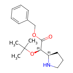 CC(C)(C)O[C@@H](C(=O)OCc1ccccc1)[C@H]1CCCN1